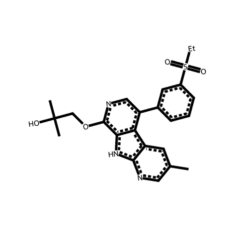 CCS(=O)(=O)c1cccc(-c2cnc(OCC(C)(C)O)c3[nH]c4ncc(C)cc4c23)c1